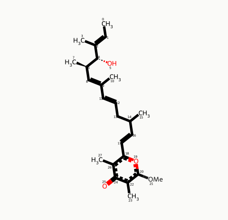 C/C=C(\C)[C@H](O)[C@H](C)/C=C(C)/C=C/CC(C)/C=C/c1oc(OC)c(C)c(=O)c1C